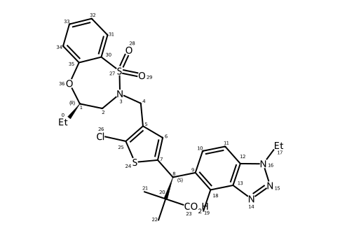 CC[C@@H]1CN(Cc2cc([C@@H](c3ccc4c(nnn4CC)c3C)C(C)(C)C(=O)O)sc2Cl)S(=O)(=O)c2ccccc2O1